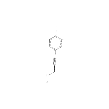 CNCC#Cc1ccc(F)cc1